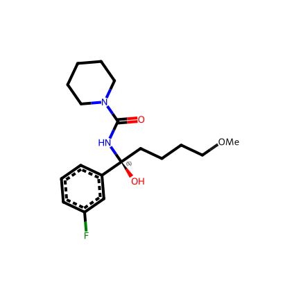 COCCCC[C@@](O)(NC(=O)N1CCCCC1)c1cccc(F)c1